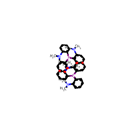 CN(C)c1ccccc1P(c1ccccc1-c1ccccc1P(c1ccccc1N(C)C)c1ccccc1N(C)C)c1ccccc1N(C)C